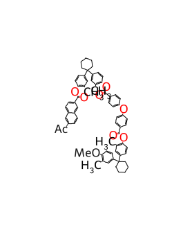 COc1ccc(C2(c3ccc(OC(=O)c4ccc(Oc5ccc(C(=O)Oc6ccc(C7(c8ccc(OC(=O)c9ccc%10cc(C(C)=O)ccc%10c9)c(C)c8)CCCCC7)cc6C)cc5)cc4)c(C)c3)CCCCC2)cc1C